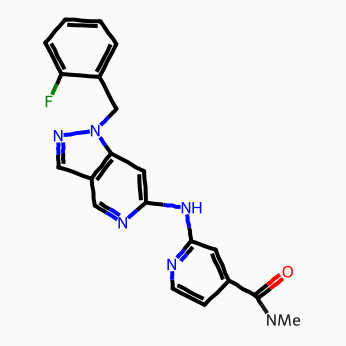 CNC(=O)c1ccnc(Nc2cc3c(cn2)cnn3Cc2ccccc2F)c1